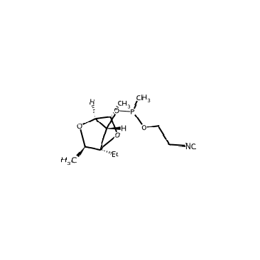 [C-]#[N+]CCOP(C)O[C@H]1[C@H]2O[C@H](C)[C@]1(CC)O[C@H]2C